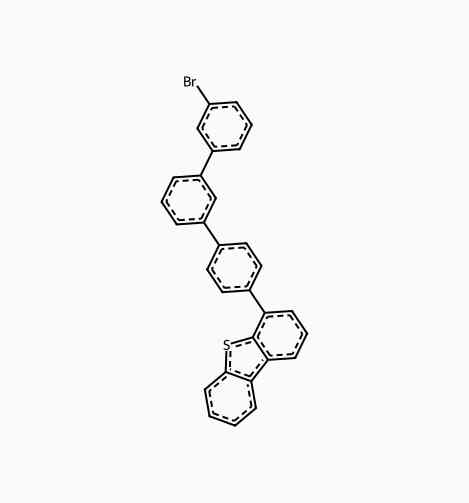 Brc1cccc(-c2cccc(-c3ccc(-c4cccc5c4sc4ccccc45)cc3)c2)c1